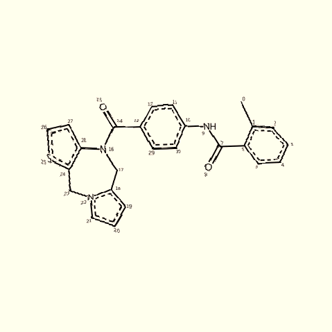 Cc1ccccc1C(=O)Nc1ccc(C(=O)N2Cc3cccn3Cc3sccc32)cc1